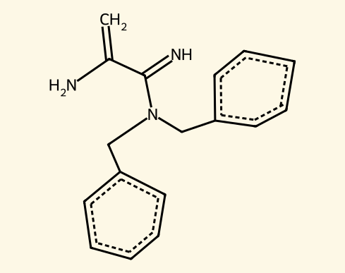 C=C(N)C(=N)N(Cc1ccccc1)Cc1ccccc1